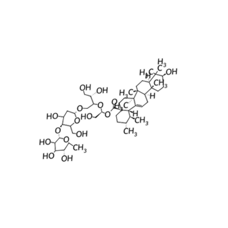 CC1O[C@@H](O[C@H]2C(O)C[C@H](OCC(O[C@H](CO)OC(=O)[C@]34CC[C@@H](C)[C@H](C)[C@H]3C3=CC[C@@H]5[C@@]6(C)CC[C@H](O)C(C)(C)[C@@H]6CC[C@@]5(C)[C@]3(C)CC4)[C@@H](O)CO)OC2CO)C(O)C(O)[C@H]1O